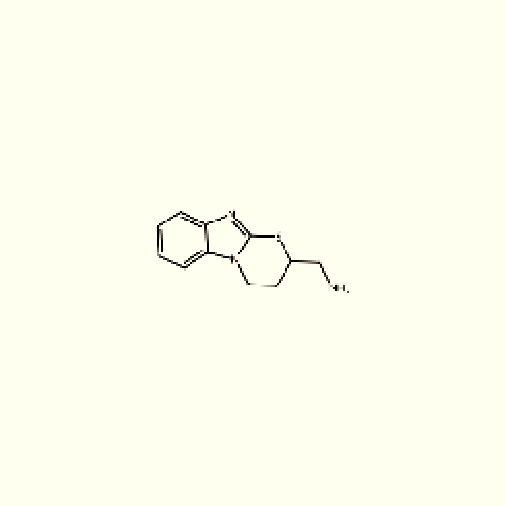 NCC1CCn2c(nc3ccccc32)S1